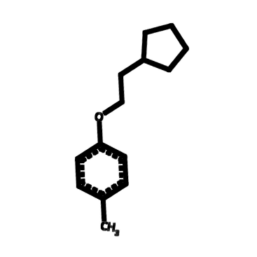 Cc1ccc(OCCC2CCCC2)cc1